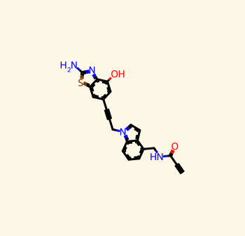 C#CC(=O)NCc1cccc2c1ccn2CC#Cc1cc(O)c2nc(N)sc2c1